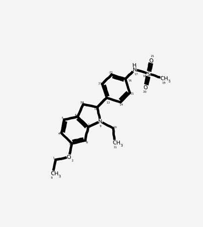 CCOc1ccc2c(c1)N(CC)C(c1ccc(NS(C)(=O)=O)cc1)C2